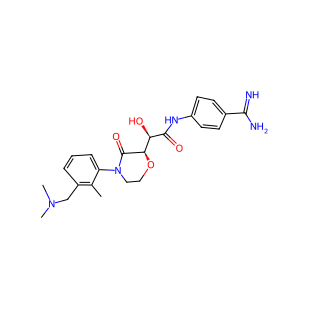 Cc1c(CN(C)C)cccc1N1CCO[C@H]([C@@H](O)C(=O)Nc2ccc(C(=N)N)cc2)C1=O